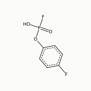 O=P(O)(F)Oc1ccc(F)cc1